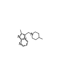 Cc1nc2ncccn2c1CN1CCC(C)CC1